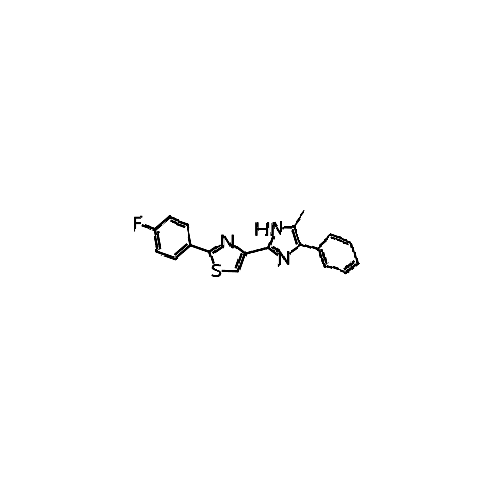 Cc1[nH]c(-c2csc(-c3ccc(F)cc3)n2)nc1-c1ccccc1